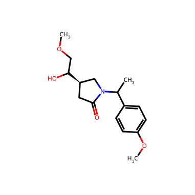 COCC(O)[C@@H]1CC(=O)N(C(C)c2ccc(OC)cc2)C1